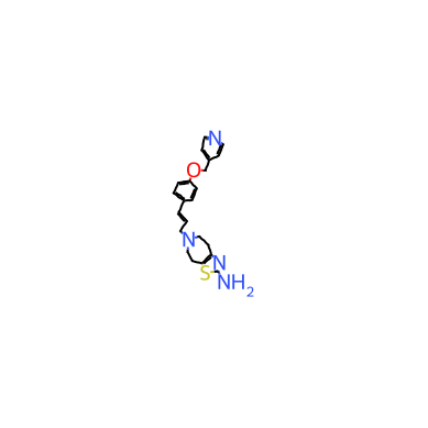 Nc1nc2c(s1)CCN(CC=Cc1ccc(OCc3ccncc3)cc1)CC2